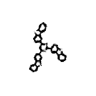 c1ccc2c(c1)oc1ccc(-c3cc(-c4ccc5c(c4)sc4ccccc45)nc(-c4ccc5oc6ccccc6c5c4)n3)cc12